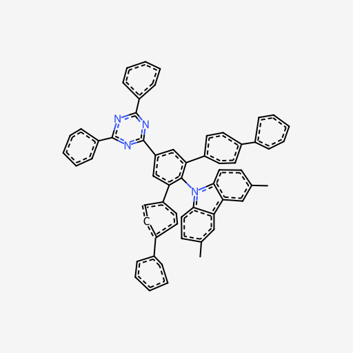 Cc1ccc2c(c1)c1cc(C)ccc1n2-c1c(-c2ccc(-c3ccccc3)cc2)cc(-c2nc(-c3ccccc3)nc(-c3ccccc3)n2)cc1-c1ccc(-c2ccccc2)cc1